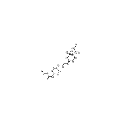 CCCC(C)O[C@H]1CC[C@H](CCCCN2CCN(C(C)CC)C(C)(C)C2)CC1